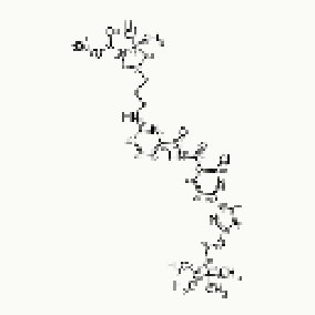 CC(C)(C)OC(=O)N1CC(CCCNc2cccc([S+]([O-])NC(=O)c3ccc(-n4ccc(OCC5C(C)(C)C5(C)C)n4)nc3Cl)n2)CC1(C)C